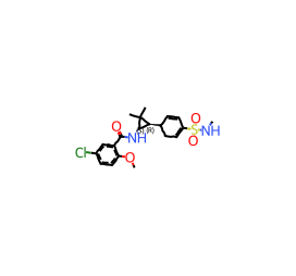 CNS(=O)(=O)C1=CCC([C@H]2[C@H](NC(=O)c3cc(Cl)ccc3OC)C2(C)C)C=C1